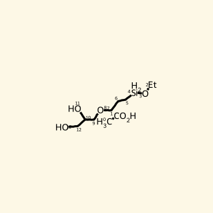 CC(=O)O.CCO[SiH2]CCCOCC(O)CO